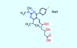 CC(C)c1nc(N(C)C)nc(-c2ccc(F)cc2)c1/C=C/[C@@H](O)CC(O)CC(=O)O.[NaH]